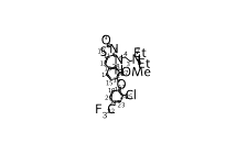 CCN(CC)CCNC1=NC(=O)SC1=Cc1ccc(Oc2ccc(C(F)(F)F)cc2Cl)c(OC)c1